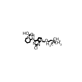 C[Si](C)(C)CCOCn1ccc2c(NC3CCCCN3C(=O)O)nc(Cl)nc21